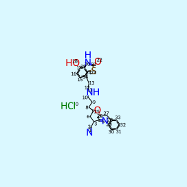 Cl.N#CC(C#N)CC(CCCNCCc1ccc(O)c2[nH]c(=O)sc12)OCCc1ccccc1